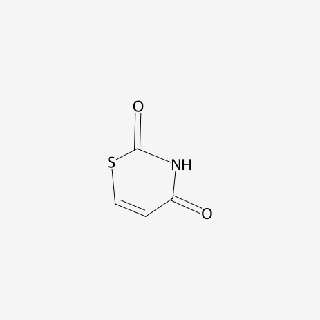 O=c1ccsc(=O)[nH]1